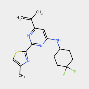 C=C(C)c1cc(NC2CCC(F)(F)CC2)nc(-c2nc(C)cs2)n1